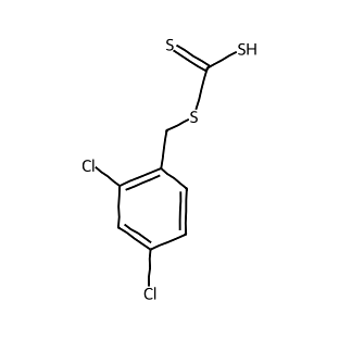 S=C(S)SCc1ccc(Cl)cc1Cl